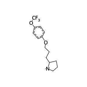 FC(F)(F)Oc1ccc(OCCCC2CCC[N]2)cc1